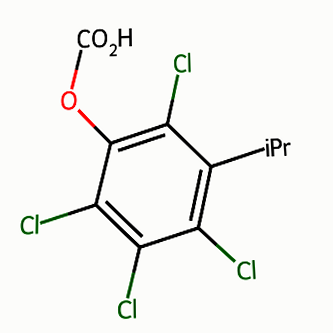 CC(C)c1c(Cl)c(Cl)c(Cl)c(OC(=O)O)c1Cl